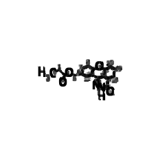 CCC(=O)OCc1ccc2c(c1)-c1n[nH]c(=O)c3cccc(c13)O2